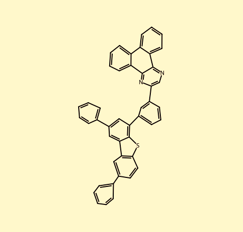 c1ccc(-c2ccc3sc4c(-c5cccc(-c6cnc7c8ccccc8c8ccccc8c7n6)c5)cc(-c5ccccc5)cc4c3c2)cc1